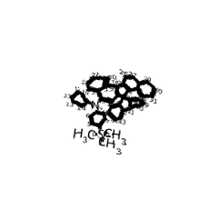 C[Si](C)(C)c1ccc(N(c2ccccc2)c2cc3c(c4ccccc24)-c2ccc4ccccc4c2C32c3ccccc3-c3ccccc32)cc1